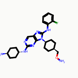 NOC[C@H]1CC[C@@H](n2c(Nc3ccccc3F)nc3cnc(N[C@H]4CC[C@H](N)CC4)nc32)CC1